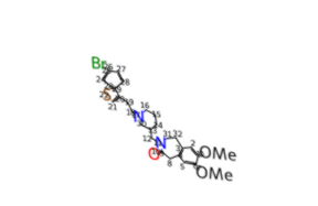 COc1cc2c(cc1OC)CC(=O)N(CC1CCCN(CCc3csc4cc(Br)ccc34)C1)CC2